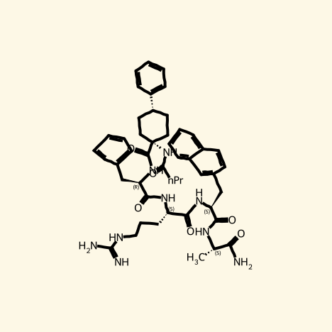 CCCC(=O)N[C@]1(C(=O)N[C@H](Cc2ccccc2)C(=O)N[C@@H](CCCNC(=N)N)C(=O)N[C@@H](Cc2ccc3ccccc3c2)C(=O)N[C@@H](C)C(N)=O)CC[C@H](c2ccccc2)CC1